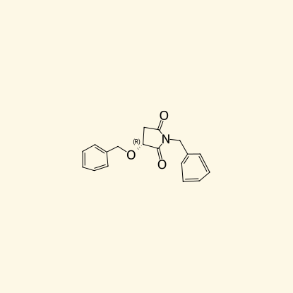 O=C1C[C@@H](OCc2ccccc2)C(=O)N1Cc1ccccc1